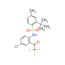 Cc1ccc(S(=O)(=O)Nc2ccc(Cl)cc2C(=O)C(F)(F)F)c(C(C)(C)C)c1